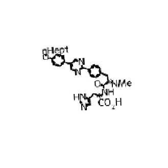 CCCCCCCOc1ccc(-c2cnc(-c3ccc(C[C@H](NC)C(=O)N[C@@H](Cc4cnc[nH]4)C(=O)O)cc3)nc2)cc1